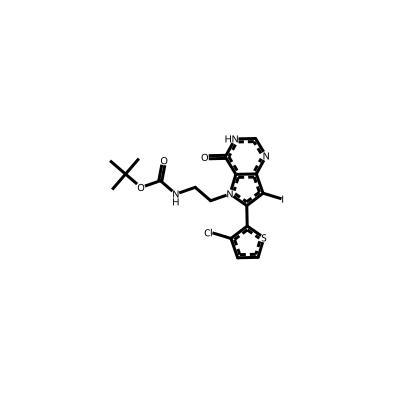 CC(C)(C)OC(=O)NCCn1c(-c2sccc2Cl)c(I)c2nc[nH]c(=O)c21